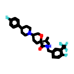 CC(C)[C@]1(C(=O)NCc2ccc(F)c(C(F)(F)F)c2)CCC(N2CCC(c3ccc(F)cc3)CC2)CO1